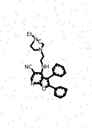 CCN1CCN(CCNc2c(C#N)cnc3oc(-c4ccccc4)c(-c4ccccc4)c23)CC1